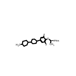 CCCCCC[C@@H](C)Oc1c(F)cc(C2CCC(C3CCC(C)CC3)CC2)cc1F